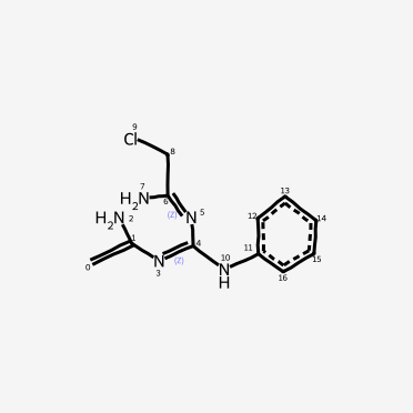 C=C(N)/N=C(\N=C(/N)CCl)Nc1ccccc1